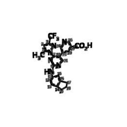 Cc1cc(C(F)(F)F)nn1-c1nc(Nc2ccc3c(c2)CCC3)ncc1-c1cncc(C(=O)O)c1